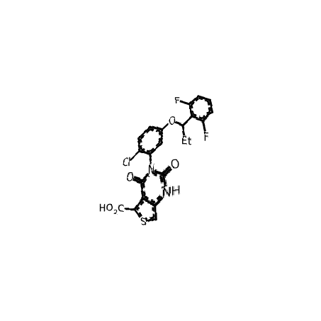 CCC(Oc1ccc(Cl)c(-n2c(=O)[nH]c3csc(C(=O)O)c3c2=O)c1)c1c(F)cccc1F